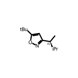 CC(C)[C@H](C)c1cc(C(C)(C)C)on1